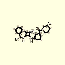 CC[C@@H](Nc1c(Nc2cccc(C(=O)N3CCCC(C(C)=O)C3)c2O)c(=O)c1=O)c1ccccc1